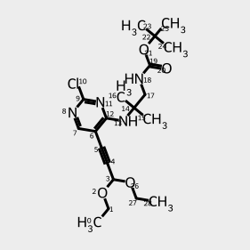 CCOC(C#Cc1cnc(Cl)nc1NC(C)(C)CNC(=O)OC(C)(C)C)OCC